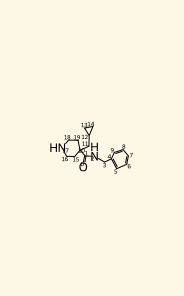 O=C(NCc1ccccc1)C1(CC2CC2)CCNCC1